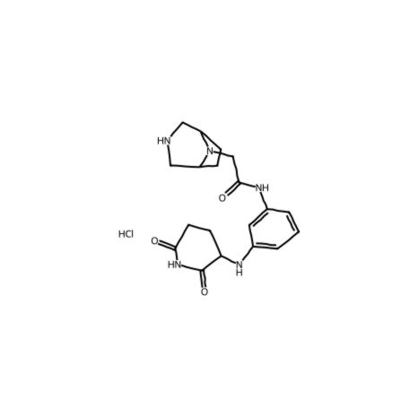 Cl.O=C1CCC(Nc2cccc(NC(=O)CN3C4CCC3CNC4)c2)C(=O)N1